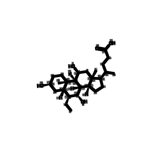 CC[C@H]1[C@@H](O)[C@@H]2[C@H]([C@@H](O)C[C@]3(C)[C@@H](C(C)CCC(=O)O)CC[C@@H]23)[C@@]2(C)CC[C@@H](O)C[C@@H]12